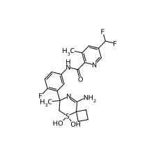 Cc1cc(C(F)F)cnc1C(=O)Nc1ccc(F)c(C2(C)CS(O)(O)C3(CCC3)C(N)=N2)c1